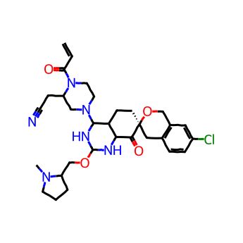 C=CC(=O)N1CCN(C2NC(OCC3CCCN3C)NC3C(=O)[C@]4(CCC32)Cc2ccc(Cl)cc2CO4)CC1CC#N